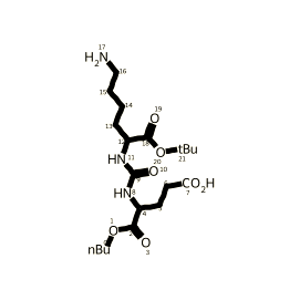 CCCCOC(=O)C(CCC(=O)O)NC(=O)NC(CCCCN)C(=O)OC(C)(C)C